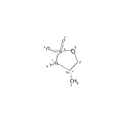 C[C@H]1COS(=O)(=O)N1I